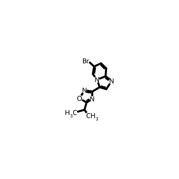 CC(C)c1nc(-c2cnc3ccc(Br)cn23)no1